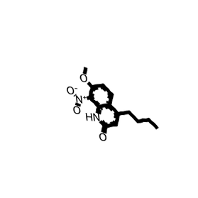 CCCCc1cc(=O)[nH]c2c([N+](=O)[O-])c(OC)ccc12